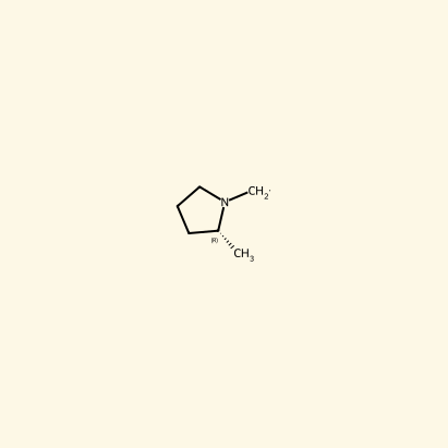 [CH2]N1CCC[C@H]1C